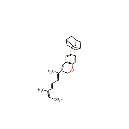 CC(=C/C(=O)O)/C=C/C=C(\C)C1=Cc2cc(C34CC5CC(CC(C5)C3)C4)ccc2OC1